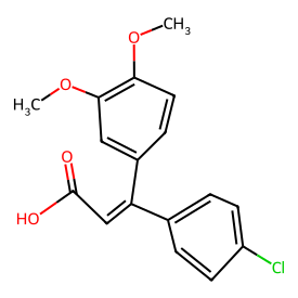 COc1ccc(/C(=C\C(=O)O)c2ccc(Cl)cc2)cc1OC